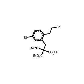 CCOC(=O)C(Cc1cc(CC)ccc1CCBr)(NC(C)=O)C(=O)OCC